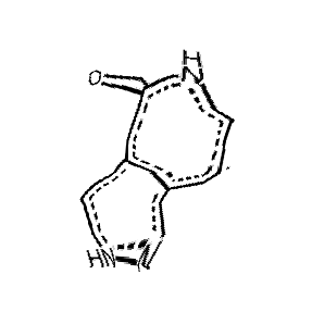 O=c1[nH]c[c]c2n[nH]cc12